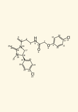 C=C(CCNC(=O)COc1ccc(Cl)cc1)N1C[C@@H](c2ccc(Cl)cc2)N(C)C1=S